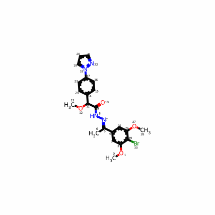 COc1cc(/C(C)=N/NC(=O)C(OC)c2ccc(-n3cccn3)cc2)cc(OC)c1Br